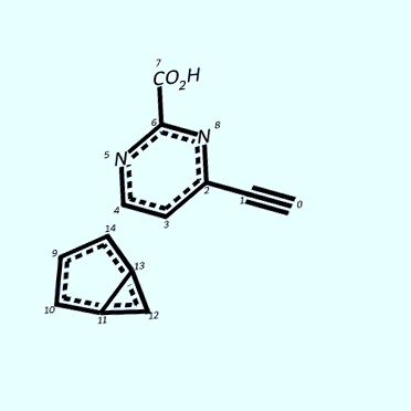 C#Cc1ccnc(C(=O)O)n1.c1cc2cc-2c1